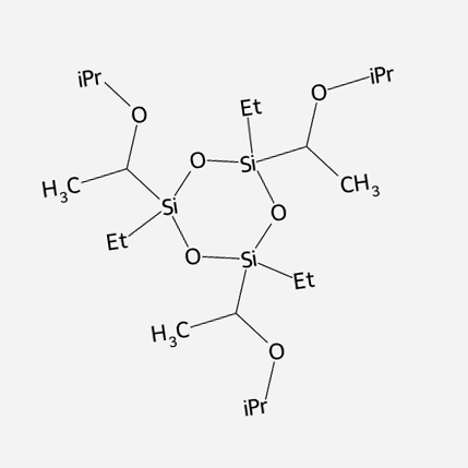 CC[Si]1(C(C)OC(C)C)O[Si](CC)(C(C)OC(C)C)O[Si](CC)(C(C)OC(C)C)O1